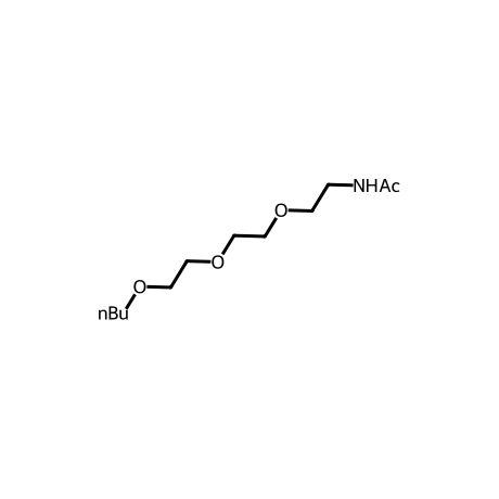 CCCCOCCOCCOCCNC(C)=O